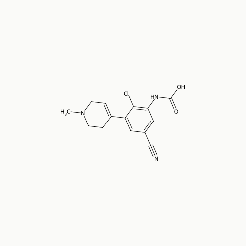 CN1CC=C(c2cc(C#N)cc(NC(=O)O)c2Cl)CC1